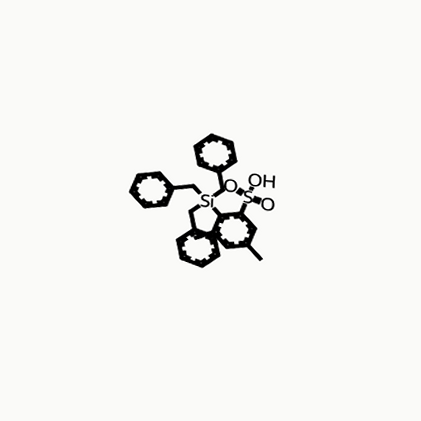 Cc1cc(C)c([Si](Cc2ccccc2)(Cc2ccccc2)Cc2ccccc2)c(S(=O)(=O)O)c1